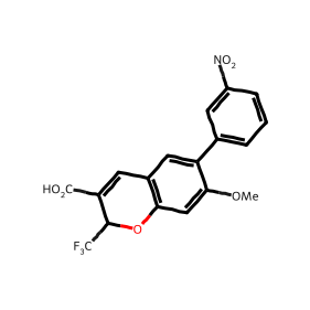 COc1cc2c(cc1-c1cccc([N+](=O)[O-])c1)C=C(C(=O)O)C(C(F)(F)F)O2